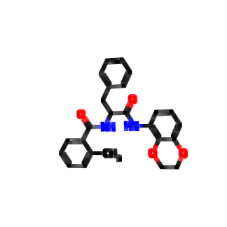 Cc1ccccc1C(=O)NC(Cc1ccccc1)C(=O)Nc1cccc2c1OCCO2